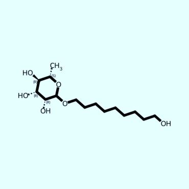 C[C@@H]1OC(OCCCCCCCCCO)[C@H](O)[C@H](O)[C@H]1O